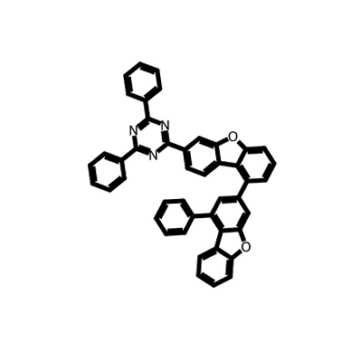 c1ccc(-c2nc(-c3ccccc3)nc(-c3ccc4c(c3)oc3cccc(-c5cc(-c6ccccc6)c6c(c5)oc5ccccc56)c34)n2)cc1